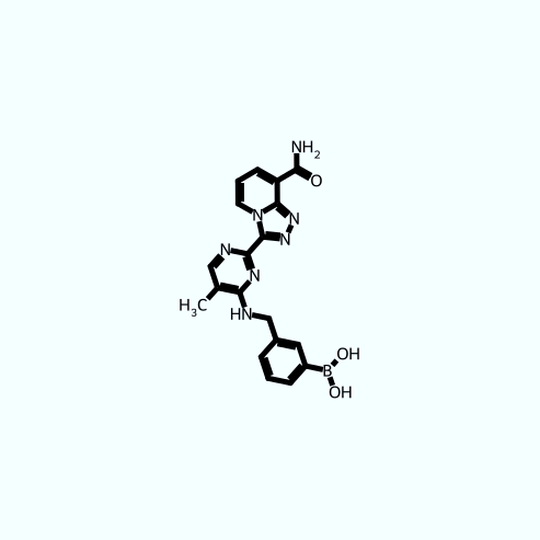 Cc1cnc(-c2nnc3c(C(N)=O)cccn23)nc1NCc1cccc(B(O)O)c1